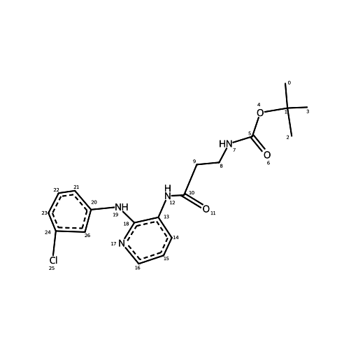 CC(C)(C)OC(=O)NCCC(=O)Nc1cccnc1Nc1cccc(Cl)c1